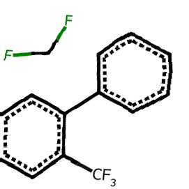 FC(F)(F)c1ccccc1-c1ccccc1.FCF